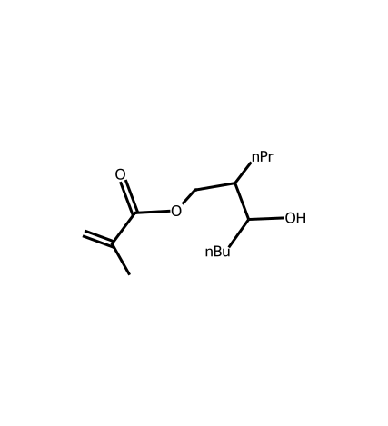 C=C(C)C(=O)OCC(CCC)C(O)CCCC